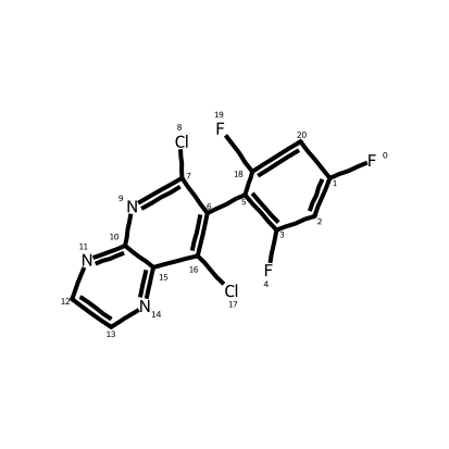 Fc1cc(F)c(-c2c(Cl)nc3nccnc3c2Cl)c(F)c1